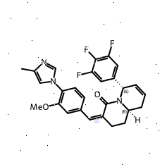 COc1cc(/C=C2/CC[C@@H]3CC=C[C@@H](c4cc(F)c(F)c(F)c4)N3C2=O)ccc1-n1cnc(C)c1